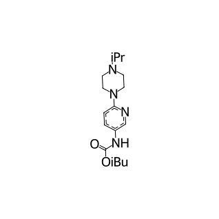 CC(C)COC(=O)Nc1ccc(N2CCN(C(C)C)CC2)nc1